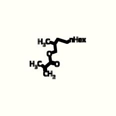 C=C(C)C(=O)OCC(C)CCCCCCCC